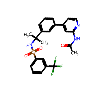 CC(=O)Nc1cc(-c2cccc(C(C)(C)NS(=O)(=O)c3cccc(C(F)(F)F)c3)c2)ccn1